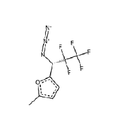 Cc1ccc([C@H](N=[N+]=[N-])C(F)(F)C(F)(F)F)o1